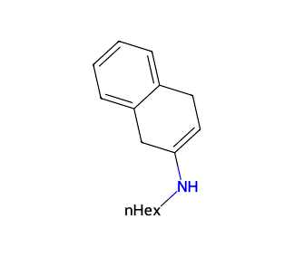 CCCCCCNC1=CCc2ccccc2C1